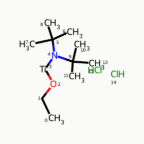 CC[O][Ti][N](C(C)(C)C)C(C)(C)C.Cl.Cl